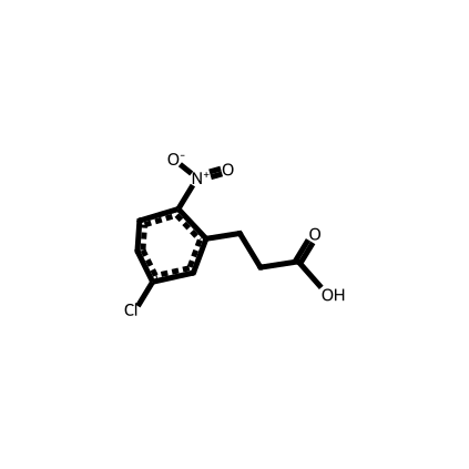 O=C(O)CCc1cc(Cl)ccc1[N+](=O)[O-]